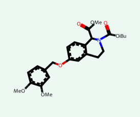 COC(=O)C1c2ccc(OCc3ccc(OC)c(OC)c3)cc2CCN1C(=O)OCC(C)C